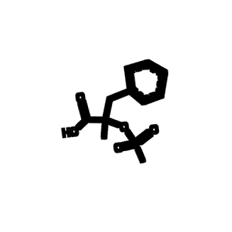 CC(Cc1ccccc1)(OS(C)(=O)=O)C(=O)O